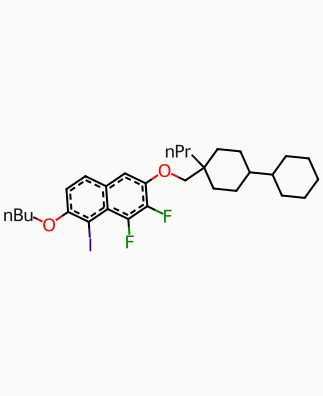 CCCCOc1ccc2cc(OCC3(CCC)CCC(C4CCCCC4)CC3)c(F)c(F)c2c1I